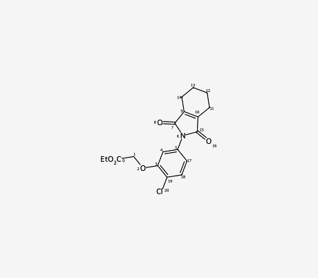 CCOC(=O)COc1cc(N2C(=O)C3=C(CCCC3)C2=O)ccc1Cl